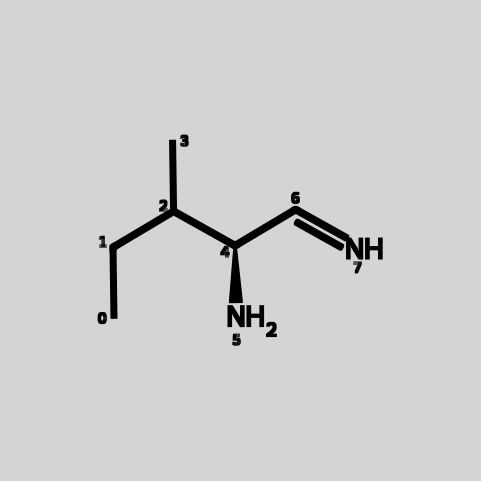 CCC(C)[C@H](N)C=N